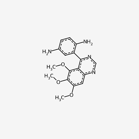 COc1cc2ncnc(-c3cc(N)ccc3N)c2c(OC)c1OC